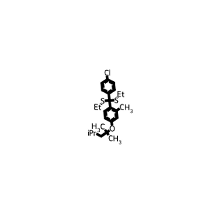 CCSC(SCC)(c1ccc(Cl)cc1)c1ccc(OC(C)(C)CC(C)C)cc1C